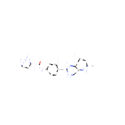 Cc1c(-c2ncc3nc(C(F)(F)F)cc(C)c3n2)ccc(NC(=O)c2ccnn2C)c1F